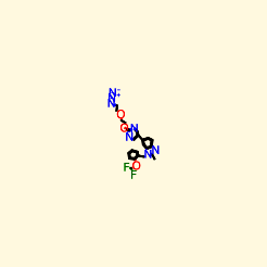 Cc1nc2ccc(-c3cnc(OCCOCCN=[N+]=[N-])nc3)cc2n1Cc1ccccc1OC(F)F